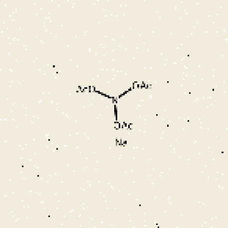 CC(=O)ON(OC(C)=O)OC(C)=O.[Na]